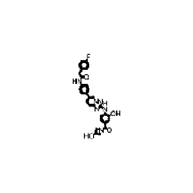 O=C(Cc1ccc(F)cc1)Nc1ccc(-c2ccc3nc(Nc4ccc(C(=O)N5CC(O)C5)cc4O)nn3c2)cc1